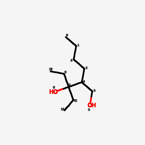 CCCCC(CO)C(O)(CC)CC